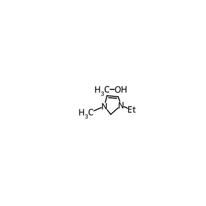 CCN1C=CN(C)C1.CO